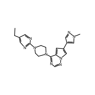 CCc1cnc(N2CCN(c3ncnn4cc(-c5cnn(C)c5)cc34)CC2)nc1